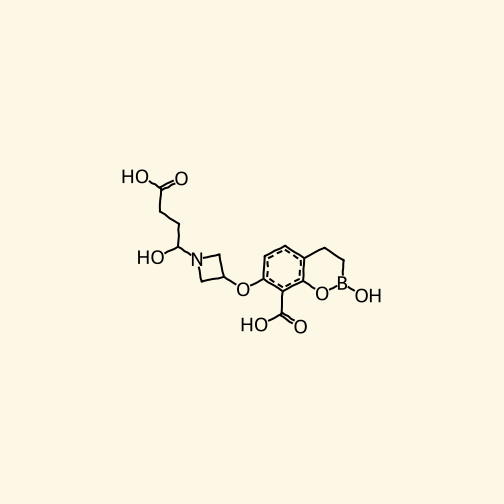 O=C(O)CCC(O)N1CC(Oc2ccc3c(c2C(=O)O)OB(O)CC3)C1